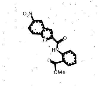 COC(=O)c1ccccc1NC(=O)c1cc2cc([N+](=O)[O-])ccc2o1